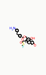 C[C@@]12CO[C@H](c3ccc(Cc4cccc(N)c4)cc3)OC(C(=O)SCF)C[C@H]1[C@@H]1CCC3=CC(=O)C=C[C@]3(C)[C@H]1[C@@H](O)C2